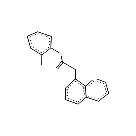 Cc1ccccc1NC(=O)Cc1cccc2cccnc12